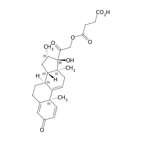 C[C@H]1C[C@H]2[C@@H]3CCC4=CC(=O)C=C[C@]4(C)C3=CC[C@]2(C)[C@@]1(O)C(=O)COC(=O)CCC(=O)O